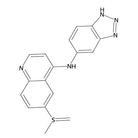 C=S(C)c1ccc2nccc(Nc3ccc4[nH]nnc4c3)c2c1